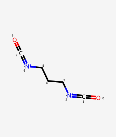 O=C=[N+]CCC[N+]=C=O